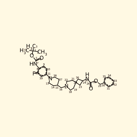 CC(C)(C)OC(=O)Nc1ccc(N2CCC(CN3CCC4(CC3)CC(NC(=O)OCc3ccccc3)C4)CC2)cc1F